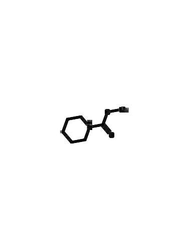 CC(C)(C)OC(=O)[SiH]1CC[CH]CC1